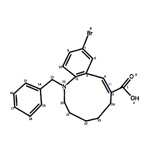 O=C(O)/C1=C/c2cc(Br)ccc2N(Cc2ccccc2)CCCCC1